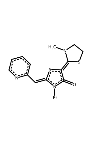 CCn1c(=O)/c(=C2\SCCN2C)s/c1=C\c1ccccn1